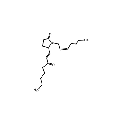 CCCC/C=C\CN1C(=O)CCC1/C=C/C(=O)CCCCC